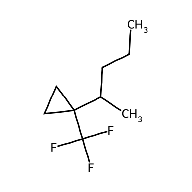 CCCC(C)C1(C(F)(F)F)CC1